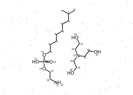 CC(C)CCCCCCCOP(=O)(O)OCCN.OCCN(CCO)CCO